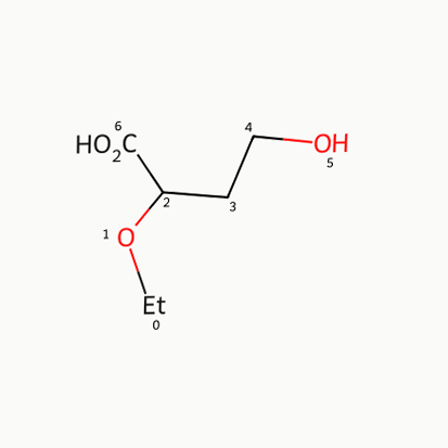 CCOC(CCO)C(=O)O